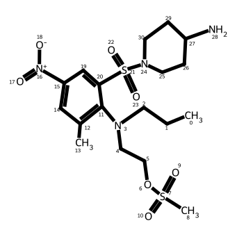 CCCN(CCOS(C)(=O)=O)c1c(C)cc([N+](=O)[O-])cc1S(=O)(=O)N1CCC(N)CC1